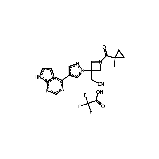 CC1(C(=O)N2CC(CC#N)(n3cc(-c4ncnc5[nH]ccc45)cn3)C2)CC1.O=C(O)C(F)(F)F